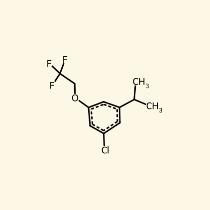 CC(C)c1cc(Cl)cc(OCC(F)(F)F)c1